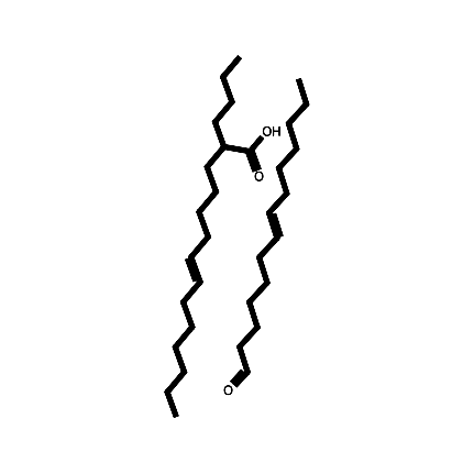 CCCCCCC=CCCCCC(CCCC)C(=O)O.CCCCCCC=CCCCCCC=O